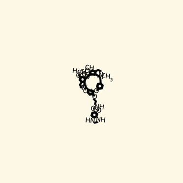 COc1cc2c3cc1Oc1c(OC)c(OC)cc4c1[C@H](Cc1ccc(OCCCNS(=O)(=O)c5ccc6c(c5)NCCN6)c(c1)Oc1ccc(cc1)C[C@H]3N(C)CC2)N(C)CC4